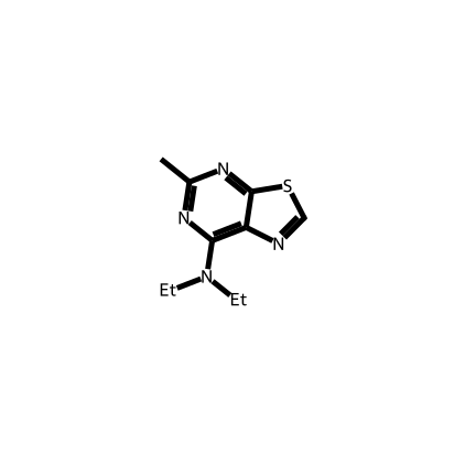 CCN(CC)c1nc(C)nc2scnc12